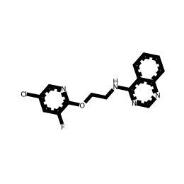 Fc1cc(Cl)cnc1OCCNc1ncnc2ccccc12